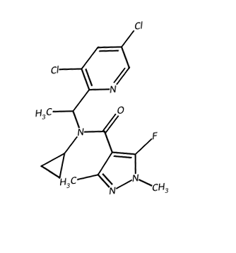 Cc1nn(C)c(F)c1C(=O)N(C1CC1)C(C)c1ncc(Cl)cc1Cl